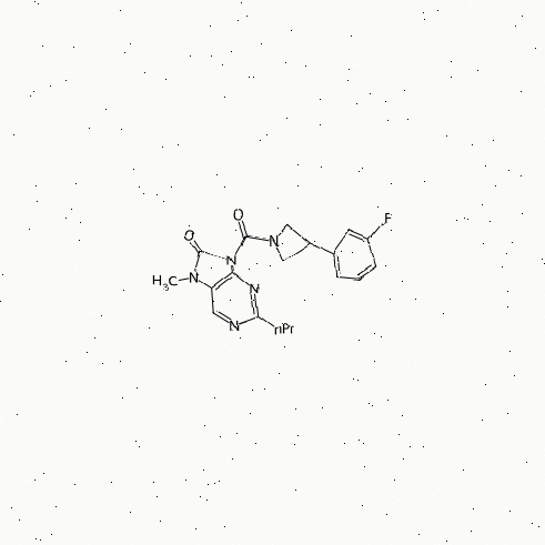 CCCc1ncc2c(n1)n(C(=O)N1CC(c3cccc(F)c3)C1)c(=O)n2C